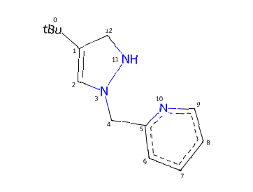 CC(C)(C)C1=CN(Cc2ccccn2)NC1